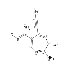 C=C1C=C(C#CC(C)C)C(C(N)=CC)=CN=C1N